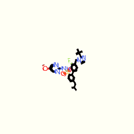 COc1cnc(NS(=O)(=O)c2ccc(CC(C)C)cc2-c2ccc(Cn3ccnc3C(C)(C)C)c(F)c2)nc1